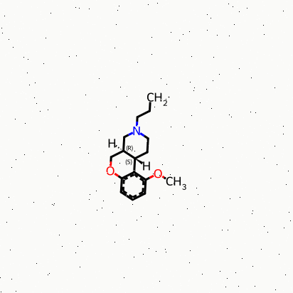 [CH2]CCN1CC[C@@H]2c3c(OC)cccc3OC[C@H]2C1